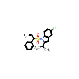 C=CC(c1ccccc1)S(=O)(=O)n1c(C(C)C(=O)O)cc2cc(Cl)ccc21